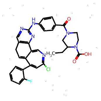 CCC1CN(C(=O)c2ccc(Nc3ncc4c(n3)C3=CN=C(Cl)C=C(c5ccccc5F)C3=CC4)cc2)CCN1C(=O)O